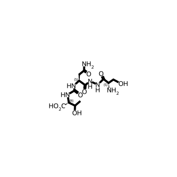 CC(O)[C@@H](NC(=O)N[C@@H](CC(N)=O)C(=O)NNC(=O)[C@@H](N)CO)C(=O)O